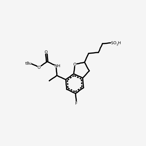 CC(NC(=O)OC(C)(C)C)c1cc(F)cc2c1OC(CCCS(=O)(=O)O)C2